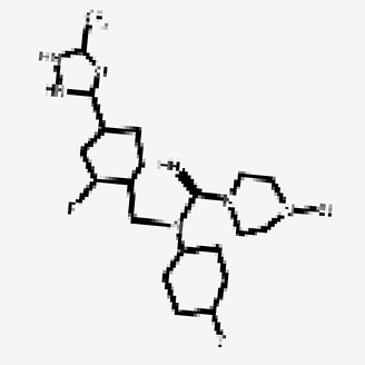 CCN1CCN(C(=N)N(CC2CCC(C3NNC(C(F)(F)F)O3)CC2F)C2CCC(Cl)CC2)CC1